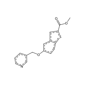 COC(=O)c1cc2cc(OCc3cccnc3)ccc2s1